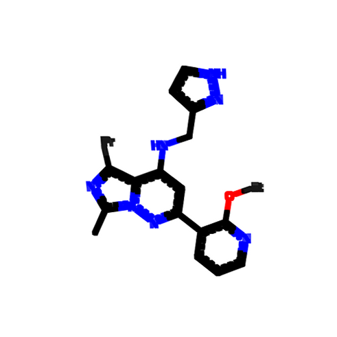 CCOc1ncccc1-c1cc(NCc2cc[nH]n2)c2c(C(C)C)nc(C)n2n1